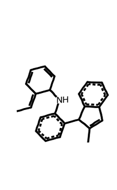 CC=C1C=CC=CC1Nc1ccccc1C1C(C)=Cc2ccccc21